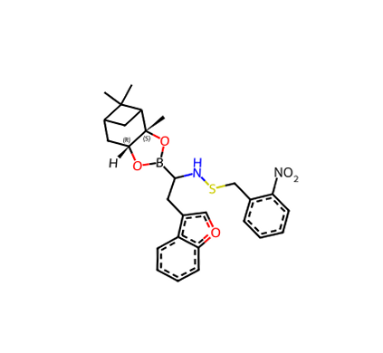 CC1(C)C2CC1[C@]1(C)OB(C(Cc3coc4ccccc34)NSCc3ccccc3[N+](=O)[O-])O[C@@H]1C2